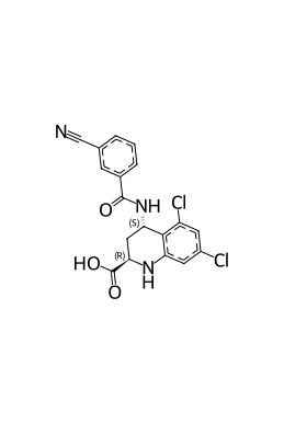 N#Cc1cccc(C(=O)N[C@H]2C[C@H](C(=O)O)Nc3cc(Cl)cc(Cl)c32)c1